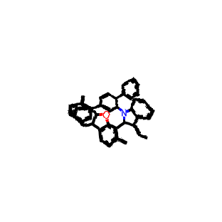 C/C=C1\c2ccccc2N(C2C=C(c3ccccc3C)C=CC2c2ccccc2)C1c1c(C)ccc2c1OC1C=CC=CC21